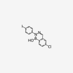 OB1c2ccc(Cl)cc2C=NN1c1ccc(I)cc1